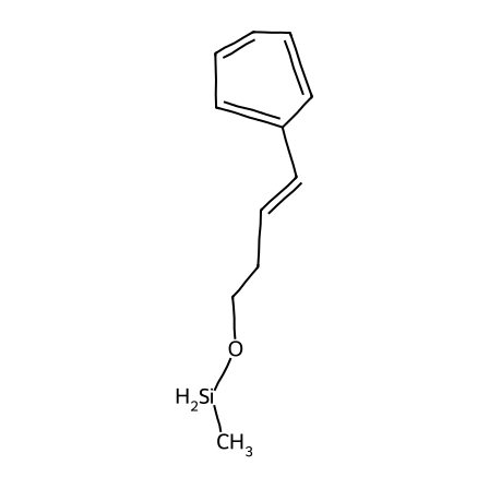 C[SiH2]OCCC=Cc1ccccc1